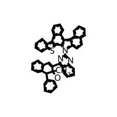 CC12Oc3ccccc3C1c1ccccc1C=C2c1nc(-n2c3ccc4ccccc4c3c3c4ccccc4c4c5ccccc5sc4c32)nc2ccccc12